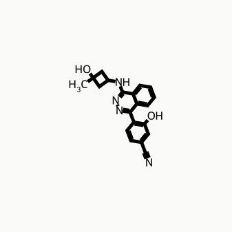 CC1(O)CC(Nc2nnc(-c3ccc(C#N)cc3O)c3ccccc23)C1